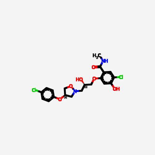 CNC(=O)c1cc(Cl)c(O)cc1OC[C@@H](O)CN1C[C@@H](Oc2ccc(Cl)cc2)CO1